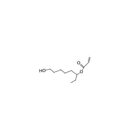 C=CC(=O)OC(CC)CCCCCO